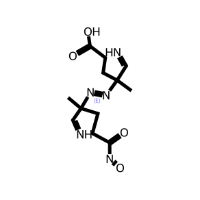 CC(C=N)(CCC(=O)O)/N=N/C(C)(C=N)CCC(=O)N=O